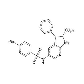 CC(C)(C)c1ccc(S(=O)(=O)Nc2cnc3c(c2)C(c2ccccc2)C(C(=O)O)N3)cc1